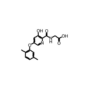 Cc1ccc(C)c(Oc2cnc(C(=O)NCC(=O)O)c(O)c2)c1